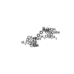 COC(=O)N[C@H](C(=O)N1C(c2ncc(-c3ccc(-c4ccc(-c5cnc([C@H]6CC[C@@H](CO)N6C(=O)[C@@H](NC(=O)OC)C6C[C@@H](C)O[C@H](C)C6)[nH]5)cc4)cc3)[nH]2)CC[C@H]1CO)C1C[C@@H](C)O[C@H](C)C1